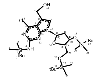 CC(C)(C)[Si](C)(C)Nc1nc(Cl)c2c(CO)cn([C@H]3C[C@@H](O[Si](C)(C)C(C)(C)C)[C@@H](CO[Si](C)(C)C(C)(C)C)O3)c2n1